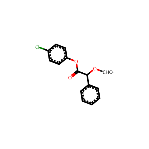 O=[C]OC(C(=O)Oc1ccc(Cl)cc1)c1ccccc1